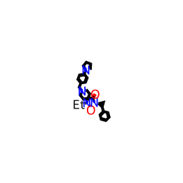 CCN1C(=O)N(C2CC2c2ccccc2)C(=O)C12CCN(Cc1ccc(N3CCCC3)cc1)CC2